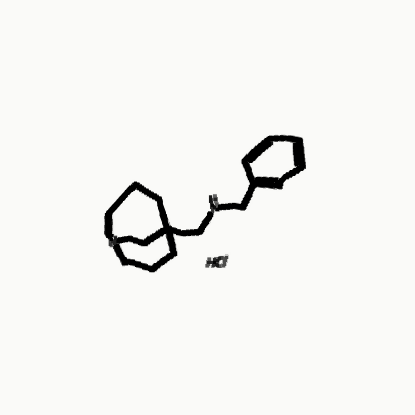 Cl.c1ccc(CNCC23CCCN(CCC2)C3)cc1